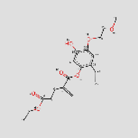 C=C(CCC(=O)OCC)C(=O)Oc1cc(O)c(OCCOC)cc1CC